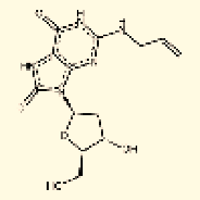 C=CCNc1nc2c([nH]c(=O)n2[C@H]2C[C@H](O)[C@@H](CO)O2)c(=O)[nH]1